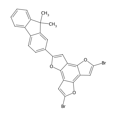 CC1(C)c2ccccc2-c2ccc(-c3cc4c5oc(Br)cc5c5oc(Br)cc5c4o3)cc21